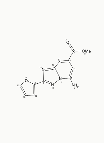 COC(=O)c1cc(N)n2nc(-c3ccco3)nc2c1